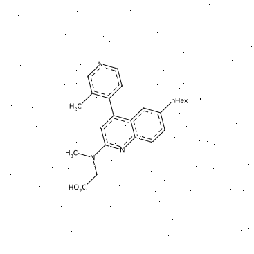 CCCCCCc1ccc2nc(N(C)CC(=O)O)cc(-c3ccncc3C)c2c1